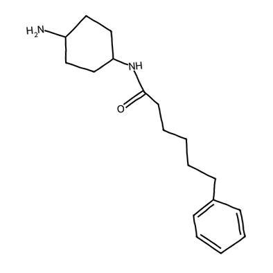 NC1CCC(NC(=O)CCCCCc2ccccc2)CC1